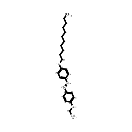 CCCCCCCCCCCOc1ccc(N=Nc2ccc(OCC)cc2)cc1